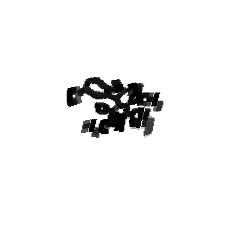 COc1c(C)nn(C)c(=O)c1-c1c(Br)sc2ccc(Cl)cc12